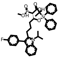 CO[PH](=O)[C@H](C(=O)O)C(CCCc1c(-c2ccc(F)cc2)c2ccccc2n1C(C)C)O[Si](c1ccccc1)(c1ccccc1)C(C)(C)C